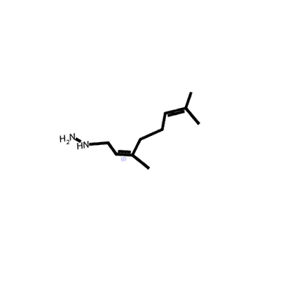 CC(C)=CCC/C(C)=C\CNN